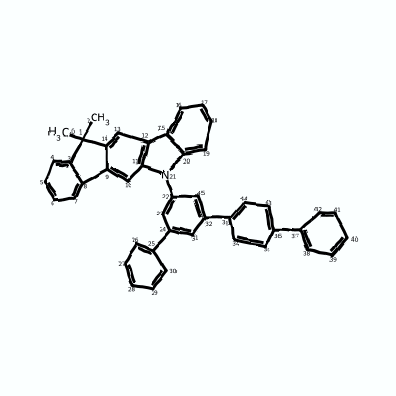 CC1(C)c2ccccc2-c2cc3c(cc21)c1ccccc1n3-c1cc(-c2ccccc2)cc(-c2ccc(-c3ccccc3)cc2)c1